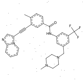 Cc1ccc(C(=O)Nc2cc(CN3CCN(C)CC3)cc(C(F)(F)F)c2)cc1C#Cc1cnc2ccccn12